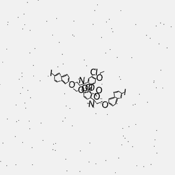 CCOc1ccc(C(CCOc2ccc3cc(I)ccc3c2)(OC(=O)CC(=O)OC(CCOc2ccc3cc(I)ccc3c2)(c2ccc(OCC)c(Cl)c2)N(C)C)N(C)C)cc1Cl